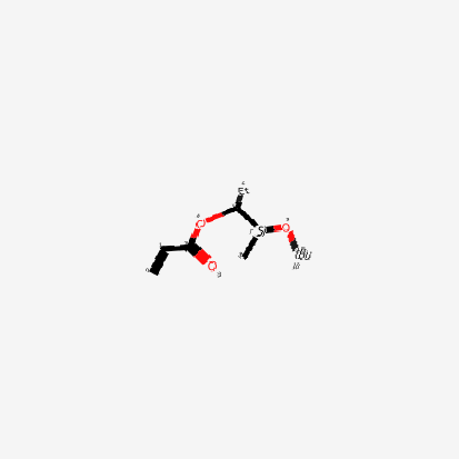 C=CC(=O)OC(CC)[Si](C)OC(C)(C)C